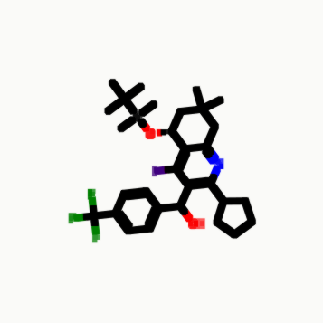 CC1(C)Cc2nc(C3CCCC3)c(C(O)c3ccc(C(F)(F)F)cc3)c(I)c2[C@H](O[Si](C)(C)C(C)(C)C)C1